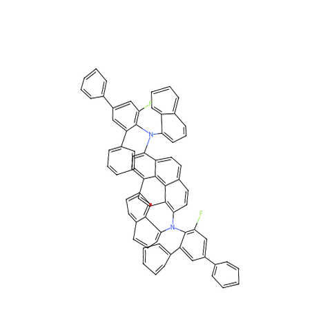 Fc1cc(-c2ccccc2)cc(-c2ccccc2)c1N(c1cccc2ccccc12)c1ccc2ccc3c(N(c4c(F)cc(-c5ccccc5)cc4-c4ccccc4)c4cccc5ccccc45)ccc4ccc1c2c43